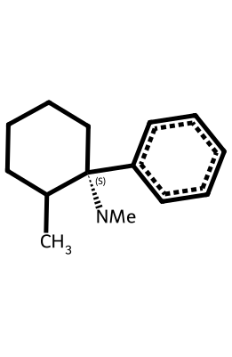 CN[C@@]1(c2ccccc2)CCCCC1C